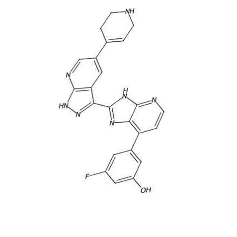 Oc1cc(F)cc(-c2ccnc3[nH]c(-c4n[nH]c5ncc(C6=CCNCC6)cc45)nc23)c1